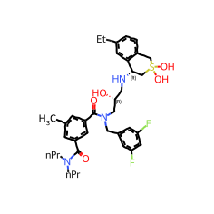 CCCN(CCC)C(=O)c1cc(C)cc(C(=O)N(Cc2cc(F)cc(F)c2)C[C@H](O)CN[C@H]2CS(O)(O)Cc3ccc(CC)cc32)c1